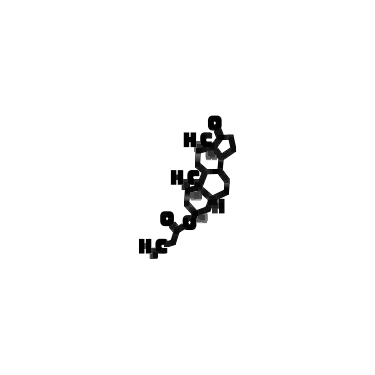 CCC(=O)O[C@H]1CC[C@]2(C)C3CC[C@]4(C)C(=O)CCC4C3CC[C@H]2C1